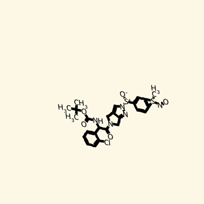 CC(C)(C)OC(=O)NC(C(=O)N1Cc2cn([S+]([O-])c3ccc4c(c3)S4(C)N=O)nc2C1)c1ccccc1Cl